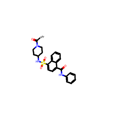 CCCC(=O)N1CCC(NS(=O)(=O)c2ccc(C(=O)Nc3ccccc3)c3ccccc23)CC1